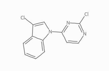 Clc1nccc(-n2cc(Cl)c3ccccc32)n1